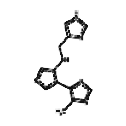 Cc1scnc1-c1cscc1NCc1c[nH]cn1